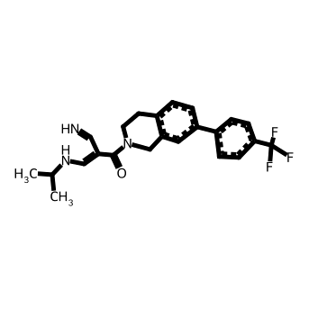 CC(C)N/C=C(\C=N)C(=O)N1CCc2ccc(-c3ccc(C(F)(F)F)cc3)cc2C1